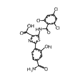 NC(=O)c1ccc(-c2nc(C(=O)O)c(NC(=O)c3c(Cl)cc(Cl)cc3Cl)s2)c(O)c1